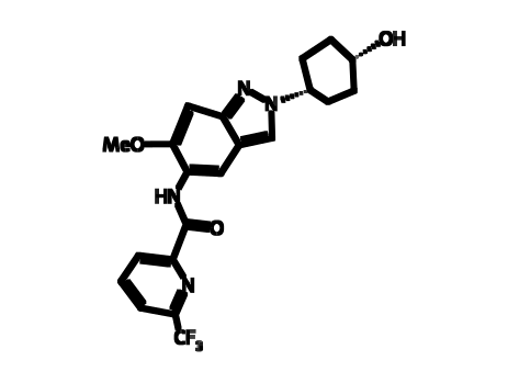 COc1cc2nn([C@H]3CC[C@@H](O)CC3)cc2cc1NC(=O)c1cccc(C(F)(F)F)n1